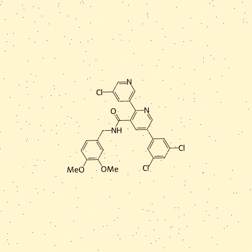 COc1ccc(CNC(=O)c2cc(-c3cc(Cl)cc(Cl)c3)cnc2-c2cncc(Cl)c2)cc1OC